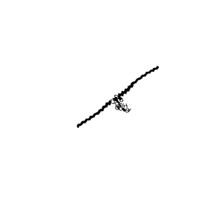 CCCCCCCCCCCCCCCCCCCCCC(=O)OC(COCCCCCCCCCCCCCCCCCC)COP(=O)(O)OCC[N+](C)(C)C